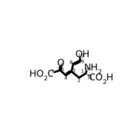 N[C@@H](CC(=C/C(=O)C(=O)O)/C=C/O)C(=O)O